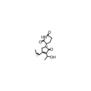 C/C=C\C1=C(C(C)O)C(=O)N(C2CCC(=O)NC2=O)C1